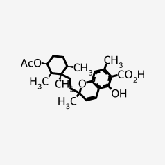 CC(=O)O[C@H]1CC[C@@H](C)[C@](C)(CCC2(C)C=Cc3c(cc(C)c(C(=O)O)c3O)O2)[C@H]1C